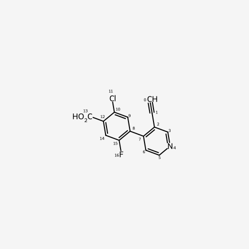 C#Cc1cnccc1-c1cc(Cl)c(C(=O)O)cc1F